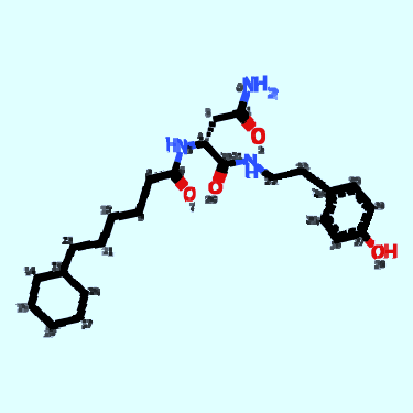 NC(=O)C[C@@H](NC(=O)CCCCCC1CCCCC1)C(=O)NCCc1ccc(O)cc1